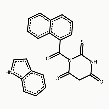 O=C1CC(=O)N(C(=O)c2cccc3ccccc23)C(=S)N1.c1ccc2[nH]ccc2c1